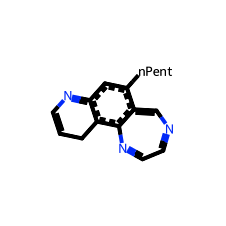 CCCCCc1cc2c(c3c1=CN=CC=N3)CC=CN=2